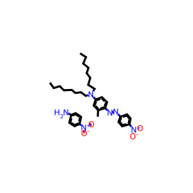 CCCCCCCCN(CCCCCCCC)c1ccc(N=Nc2ccc([N+](=O)[O-])cc2)c(C)c1.Nc1ccc([N+](=O)[O-])cc1